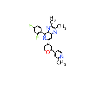 Cc1cc([C@@H]2C[C@@H](c3cc4nc(C)c(C)nc4c(-c4ccc(F)cc4F)n3)CCO2)ccn1